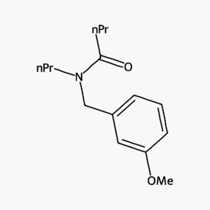 CCCC(=O)N(CCC)Cc1cccc(OC)c1